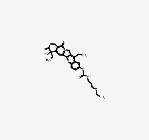 CCOCCCNC(=O)Oc1ccc2nc3c(c(CC)c2c1)Cn1c-3cc2c(c1=O)COC(=O)C2(O)CC